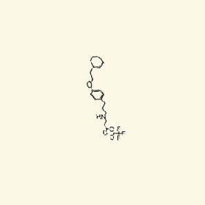 O=C(CCNCCCc1ccc(OCCC2CCCCC2)cc1)OC(=O)C(F)(F)F